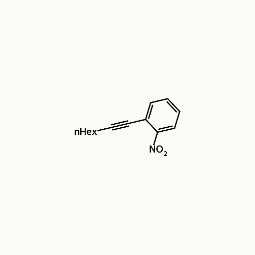 CCCCCCC#Cc1ccccc1[N+](=O)[O-]